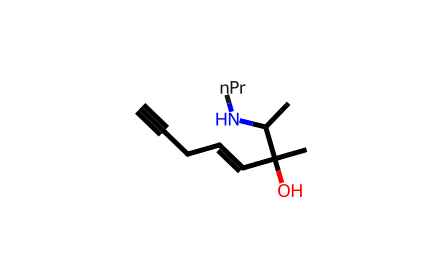 C#CC/C=C/C(C)(O)C(C)NCCC